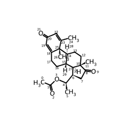 CC(=O)O[C@H](C)[C@@H]1CC(=O)[C@@]2(C)CC[C@H]3[C@@H](CCC4=CC(=O)C=C(C)[C@@]43C)[C@H]12